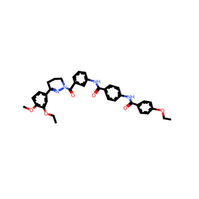 CCOc1ccc(C(=O)Nc2ccc(C(=O)Nc3cccc(C(=O)N4CCCC(c5ccc(OC)c(OCC)c5)=N4)c3)cc2)cc1